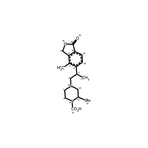 Cc1c(C(C)CN2CCN(C(=O)O)C(C(C)(C)C)C2)ccc2c1COC2=O